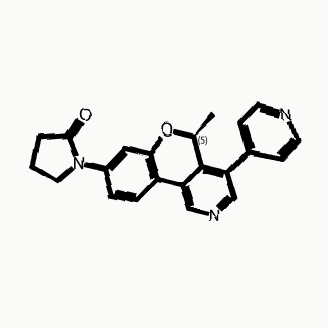 C[C@@H]1Oc2cc(N3CCCC3=O)ccc2-c2cncc(-c3ccncc3)c21